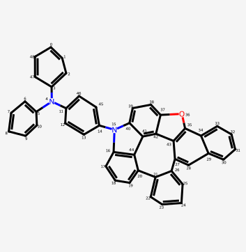 c1ccc(N(c2ccccc2)c2ccc(-n3c4cccc5c6ccccc6c6cc7ccccc7c7oc8ccc3c(c8c67)c54)cc2)cc1